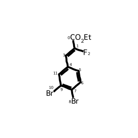 CCOC(=O)C(F)=Cc1ccc(Br)c(Br)c1